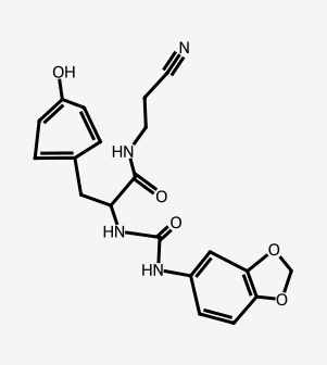 N#CCCNC(=O)C(Cc1ccc(O)cc1)NC(=O)Nc1ccc2c(c1)OCO2